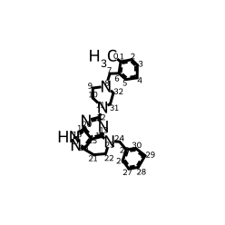 Cc1ccccc1CN1CCN(c2nc3c4c(n[nH]c4n2)CCN3Cc2ccccc2)CC1